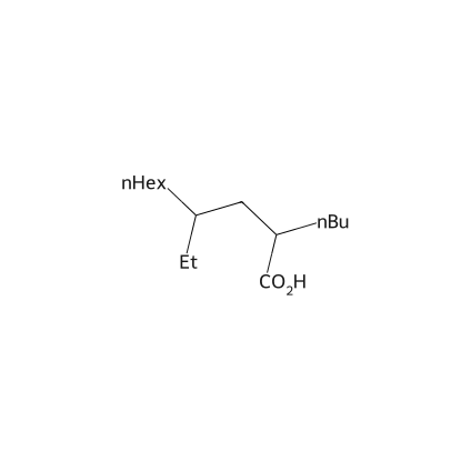 CCCCCCC(CC)CC(CCCC)C(=O)O